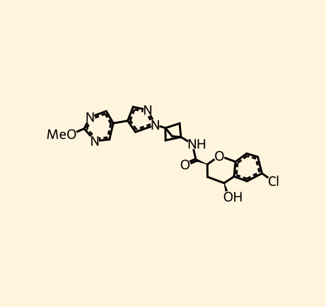 COc1ncc(-c2cnn(C34CC(NC(=O)[C@@H]5C[C@H](O)c6cc(Cl)ccc6O5)(C3)C4)c2)cn1